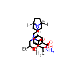 CCC(CC)CN(CCN1[C@@H]2CC[C@H]1C[C@@H](c1cccc(C(N)=O)c1)C2)C(=O)C(O)C(C)O